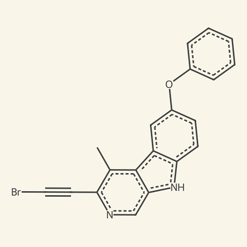 Cc1c(C#CBr)ncc2[nH]c3ccc(Oc4ccccc4)cc3c12